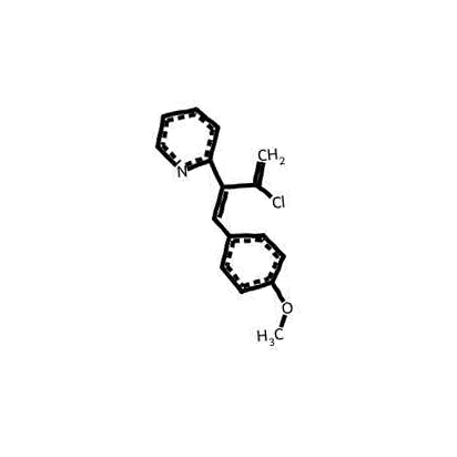 C=C(Cl)C(=Cc1ccc(OC)cc1)c1ccccn1